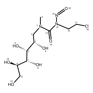 CN(C[C@H](O)[C@@H](O)[C@H](O)[C@H](O)CO)C(=O)N(CCCl)N=O